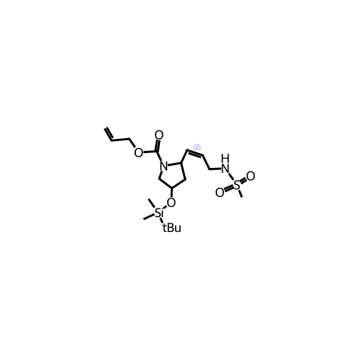 C=CCOC(=O)N1CC(O[Si](C)(C)C(C)(C)C)CC1/C=C\CNS(C)(=O)=O